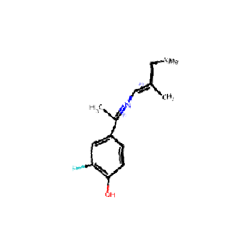 CNC/C(C)=C/N=C(\C)c1ccc(O)c(F)c1